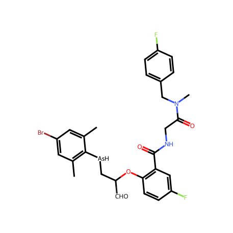 Cc1cc(Br)cc(C)c1[AsH]CC(C=O)Oc1ccc(F)cc1C(=O)NCC(=O)N(C)Cc1ccc(F)cc1